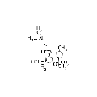 CCN(CC)CCCC(=O)Oc1cc(C)cc2c1C1=C(CCC(C)C1)C(C)(C)O2.Cl